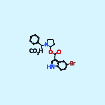 O=C(O[C@@H]1CCCN1C(C(=O)O)c1ccccc1)c1c[nH]c2ccc(Br)cc12